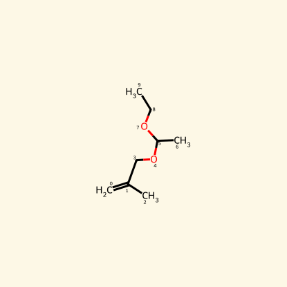 C=C(C)COC(C)O[CH]C